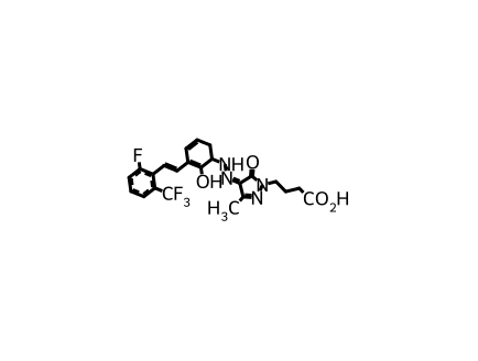 CC1=NN(CCCC(=O)O)C(=O)/C1=N\NC1CC=CC(/C=C/c2c(F)cccc2C(F)(F)F)=C1O